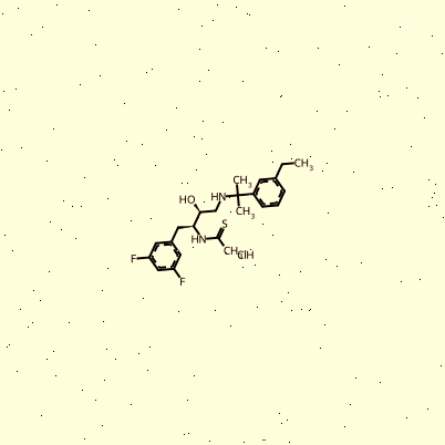 CCc1cccc(C(C)(C)NC[C@H](O)[C@H](Cc2cc(F)cc(F)c2)NC(C)=S)c1.Cl